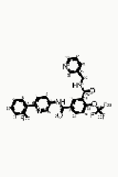 O=C(Nc1ccc(-c2ccccc2F)nc1)c1ccc(OC(F)(F)F)c(C(=O)NCc2cccnc2)c1